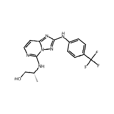 C[C@H](CO)Nc1nccc2nc(Nc3ccc(C(F)(F)F)cc3)nn12